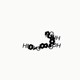 O=C1CCCN1Cc1n[nH]c2cc(O)c(C(=O)N3Cc4ccc(OCCN5CCNCC5)cc4C3)cc12